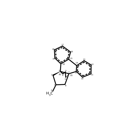 CC1C[C@]23CCC[C@@]2(C1)c1ccccc1-c1ccccc13